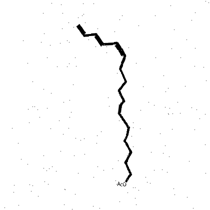 C=C/C=C/C=C\CCCCCCCCCCOC(C)=O